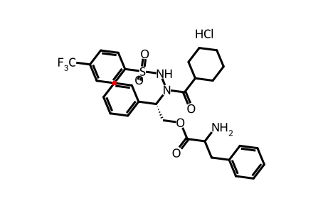 Cl.NC(Cc1ccccc1)C(=O)OC[C@H](c1ccccc1)N(NS(=O)(=O)c1ccc(C(F)(F)F)cc1)C(=O)C1CCCCC1